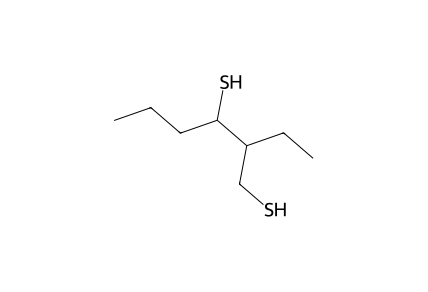 CCCC(S)C(CC)CS